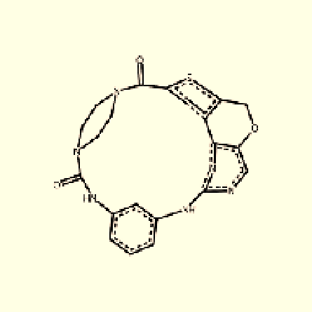 O=C1Nc2cccc(c2)Nc2ncc3c(n2)-c2cc(sc2CO3)C(=O)N2CCN1CC2